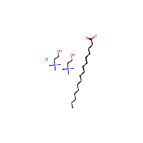 CCCCCCCCCCCCCCCC(=O)[O-].C[N+](C)(C)CCO.C[N+](C)(C)CCO.[Cl-]